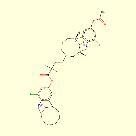 CC(C)(C)C(=O)Oc1cc(F)c2c(c1)[C@H]1CCCC(CCC(C)(C)C(=O)Oc3cc(F)c4c(c3)C3CCCCCC(C4)C3N)C[C@@H](C2)[C@@H]1N